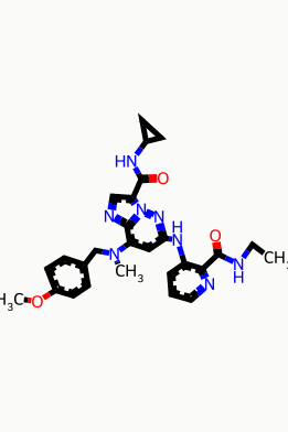 CCNC(=O)c1ncccc1Nc1cc(N(C)Cc2ccc(OC)cc2)c2ncc(C(=O)NC3CC3)n2n1